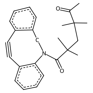 CC(=O)C(C)(C)CC(C)(C)C(=O)N1Cc2ccccc2C#Cc2ccccc21